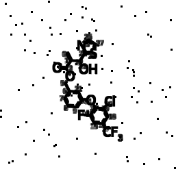 C=C(C(=O)OCc1cccc(Oc2c(F)cc(C(F)(F)F)cc2Cl)c1)C(O)c1nccs1